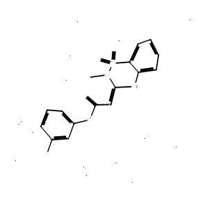 CN1/C(=C\C(=O)Nc2cccc(O)c2)Nc2ccccc2S1(=O)=O